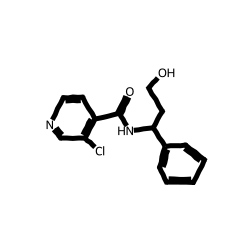 O=C(NC(CCO)c1ccccc1)c1ccncc1Cl